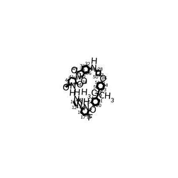 CC(C)(c1ccc(Oc2nc(N3C=CNN3)ccc2F)cc1)c1ccc(O[C@H]2C[C@H](Nc3ccc4c(c3)C(=O)N(C3CCC(=O)NC3=O)C4=O)C2)cc1